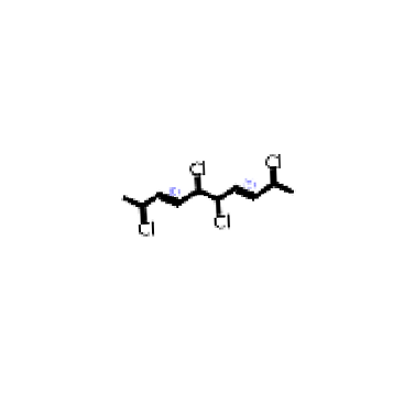 CC(Cl)/C=C/C(Cl)C(Cl)/C=C/C(C)Cl